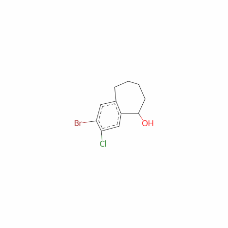 OC1CCCCc2cc(Br)c(Cl)cc21